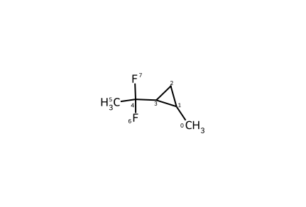 CC1CC1C(C)(F)F